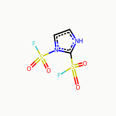 O=S(=O)(F)c1[nH]cc[n+]1S(=O)(=O)F